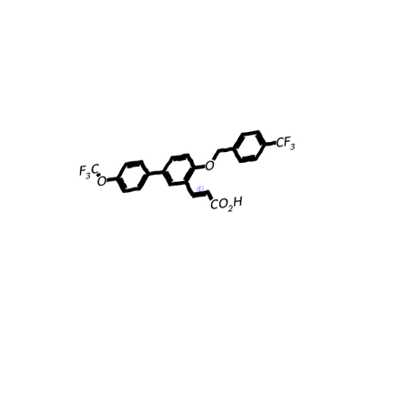 O=C(O)/C=C/c1cc(-c2ccc(OC(F)(F)F)cc2)ccc1OCc1ccc(C(F)(F)F)cc1